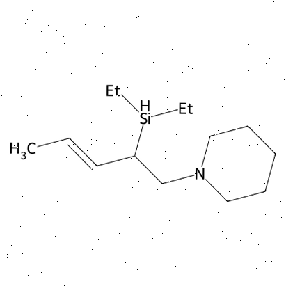 CC=CC(CN1CCCCC1)[SiH](CC)CC